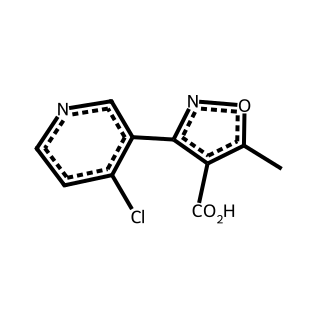 Cc1onc(-c2cnccc2Cl)c1C(=O)O